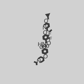 CC[C@@H](Oc1ccc(C(=O)NS(=O)(=O)c2ccc(OC3CCN(C(C)C)CC3)cc2)c(F)c1F)c1ccc(OCC2CC2)cn1